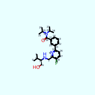 CC(C)[C@H](CO)NCc1nc(-c2cccc(C(=O)N(C(C)C)C(C)C)c2)ccc1F